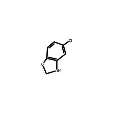 Clc1ccc2c(c1)NCO2